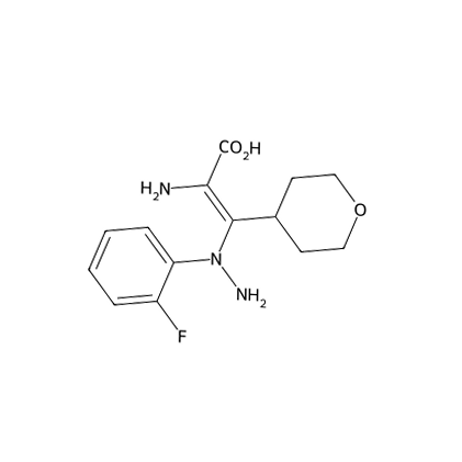 N/C(C(=O)O)=C(/C1CCOCC1)N(N)c1ccccc1F